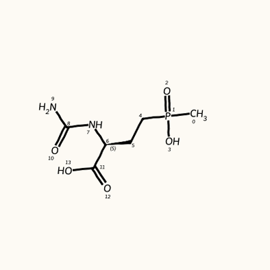 CP(=O)(O)CC[C@H](NC(N)=O)C(=O)O